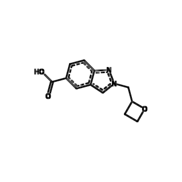 O=C(O)c1ccc2nn(CC3CCO3)cc2c1